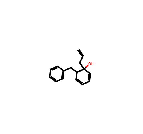 C=CCC1(O)C=CC=CC1Cc1ccccc1